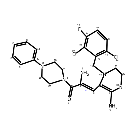 NC1=C(/C=C(\N)C(=O)N2CCN(c3ccccc3)CC2)N(Cc2c(Cl)ccc(F)c2Cl)CCN1